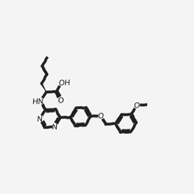 CCCC[C@H](Nc1cc(-c2ccc(OCc3cccc(OC)c3)cc2)ncn1)C(=O)O